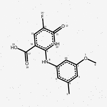 COc1cc(C)cc(Nc2[nH]c(=O)c(F)cc2C(=O)O)c1